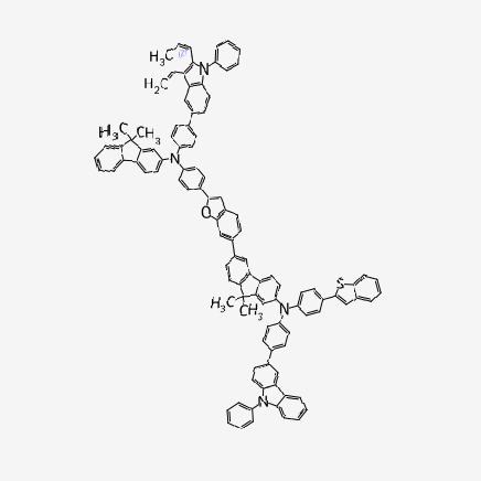 C=Cc1c(/C=C\C)n(-c2ccccc2)c2ccc(-c3ccc(N(c4ccc(-c5cc6ccc(-c7ccc8c(c7)-c7ccc(N(c9ccc(-c%10ccc%11c(c%10)c%10ccccc%10n%11-c%10ccccc%10)cc9)c9ccc(-c%10cc%11ccccc%11s%10)cc9)cc7C8(C)C)cc6o5)cc4)c4ccc5c(c4)C(C)(C)c4ccccc4-5)cc3)cc12